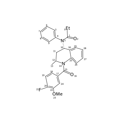 CCC(=O)N(c1ccccc1)[C@H]1CC(C)N(C(=O)c2ccc(F)c(OC)c2)c2ccccc21